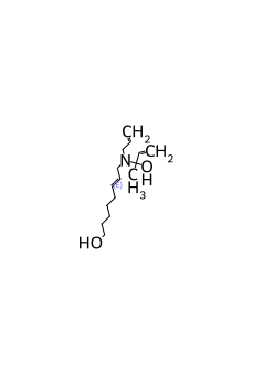 C=CCN(C/C=C/CCCCCO)C(C)(O)C=C